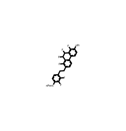 CCCCCc1ccc(CCc2ccc3c(c2F)C(F)C(F)c2c-3ccc(CCC)c2F)c(F)c1F